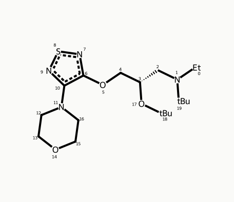 CCN(C[C@@H](COc1nsnc1N1CCOCC1)OC(C)(C)C)C(C)(C)C